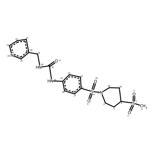 CS(=O)(=O)C1CCN(S(=O)(=O)c2ccc(NC(=O)NCc3cccnc3)cc2)CC1